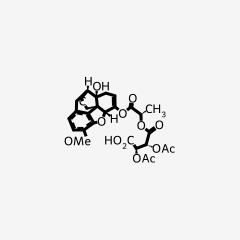 COc1ccc2c3c1O[C@H]1C(OC(=O)[C@H](C)OC(=O)[C@H](OC(C)=O)[C@@H](OC(C)=O)C(=O)O)=CC[C@@]4(O)[C@H](CCC[C@]314)C2